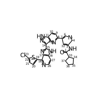 O=C(Nc1cncc(-c2ccc3[nH]nc(-c4nc5c(-c6ccc(Cl)s6)nccc5[nH]4)c3n2)c1)C1CCCC1